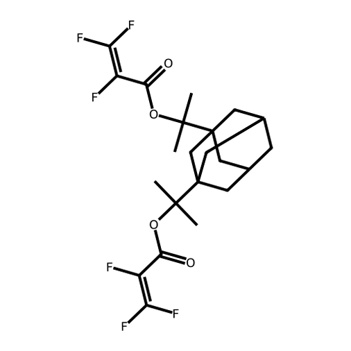 CC(C)(OC(=O)C(F)=C(F)F)C12CC3CC(C1)CC(C(C)(C)OC(=O)C(F)=C(F)F)(C3)C2